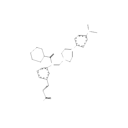 CN(C)c1ccc(N2CCN(CN(C(=O)C3CCCCC3)c3cccc(/C=C/C(=O)O)c3)CC2)cc1